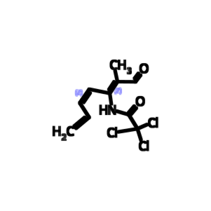 C=C/C=C\C(NC(=O)C(Cl)(Cl)Cl)=C(/C)C=O